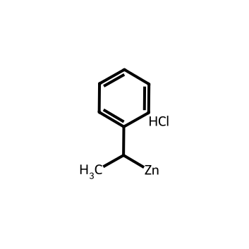 C[CH]([Zn])c1ccccc1.Cl